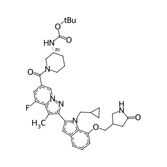 Cc1c(-c2cc3cccc(OCC4CNC(=O)C4)c3n2CC2CC2)nn2cc(C(=O)N3CCC[C@@H](NC(=O)OC(C)(C)C)C3)cc(F)c12